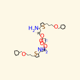 C[C@@H](COC(=O)/C=C\C(=O)OC[C@H](C)CC(N)c1ccc(CCCCOCc2ccccc2)s1)CC(N)c1ccc(CCCCOCc2ccccc2)s1